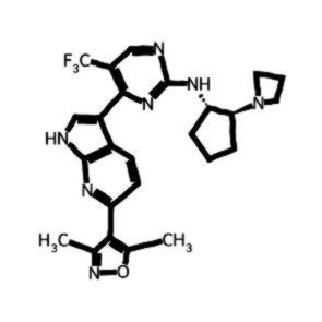 Cc1noc(C)c1-c1ccc2c(-c3nc(N[C@H]4CCC[C@@H]4N4CCC4)ncc3C(F)(F)F)c[nH]c2n1